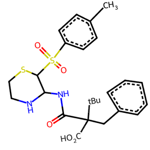 Cc1ccc(S(=O)(=O)C2SCCNC2NC(=O)C(Cc2ccccc2)(C(=O)O)C(C)(C)C)cc1